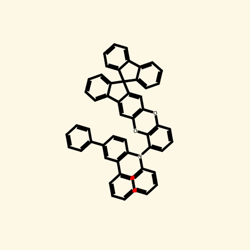 c1ccc(-c2ccc(N(c3ccccc3)c3cccc4c3Oc3cc5c(cc3O4)C3(c4ccccc4-c4ccccc43)c3ccccc3-5)c(-c3ccccc3)c2)cc1